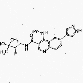 CC(C)Nc1c(C(=O)NCC(F)C(C)(C)O)cnc2ccc(-c3cn[nH]c3)cc12